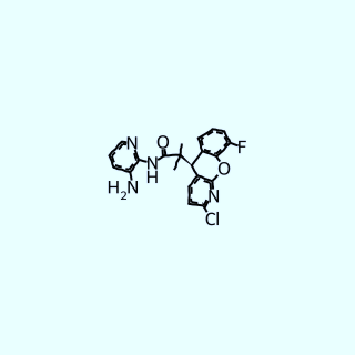 CC(C)(C(=O)Nc1ncccc1N)[C@@H]1c2ccc(Cl)nc2Oc2c(F)cccc21